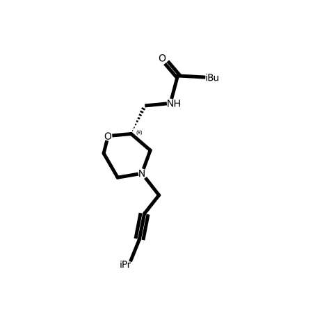 CCC(C)C(=O)NC[C@@H]1CN(CC#CC(C)C)CCO1